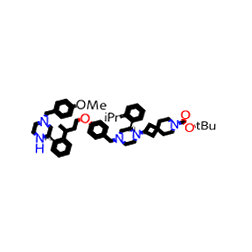 COc1ccc(CN2CCN[C@H](c3ccccc3C(C)CCOc3ccc(CN4CCN(C5CC6(CCN(C(=O)OC(C)(C)C)CC6)C5)[C@H](c5ccccc5C(C)C)C4)cc3)C2)cc1